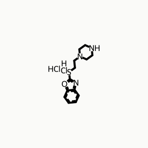 Cl.Cl.c1ccc2oc(SCCN3CCNCC3)nc2c1